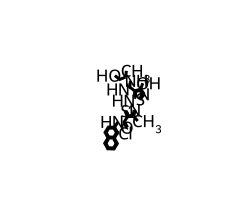 Cc1nc(Nc2snc(O)c2C(=N)NC(C)CO)sc1C(=O)Nc1ccc2ccccc2c1Cl